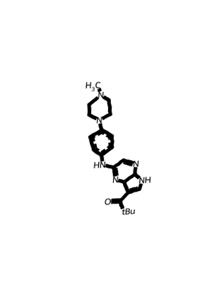 CN1CCN(c2ccc(NC3=NC4C(C(=O)C(C)(C)C)=CNC4N=C3)cc2)CC1